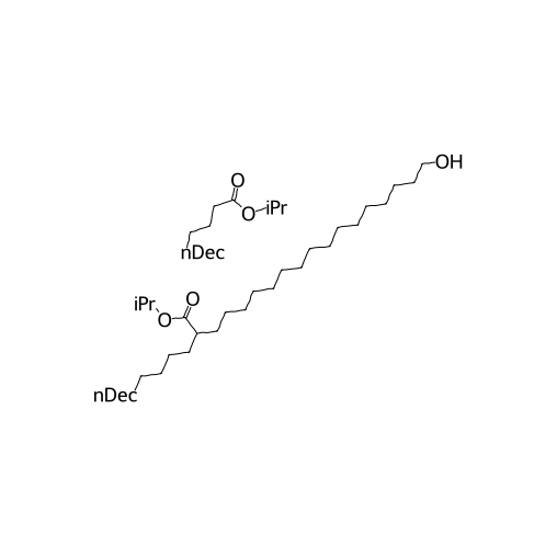 CCCCCCCCCCCCCC(=O)OC(C)C.CCCCCCCCCCCCCCC(CCCCCCCCCCCCCCCCO)C(=O)OC(C)C